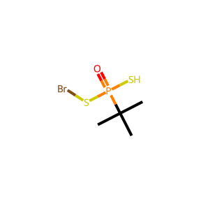 CC(C)(C)P(=O)(S)SBr